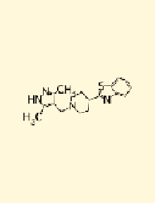 Cc1n[nH]c(C)c1CN1CCC(c2nc3ccccc3s2)CC1